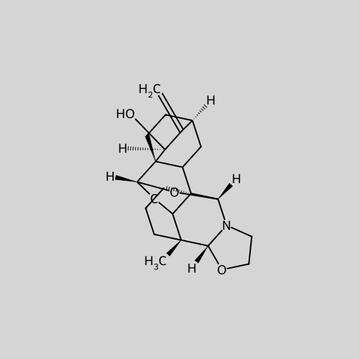 C=C1[C@H]2CC[C@]3(C(C2)[C@]24CCC[C@]5(C)C2C[C@H]3O[C@H]4N2CCO[C@@H]25)[C@H]1O